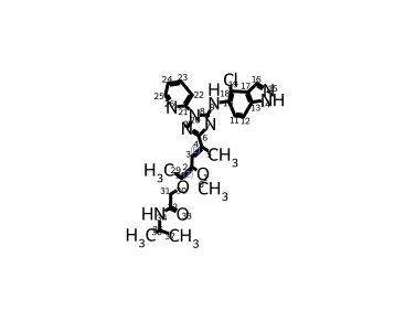 COC(/C=C(\C)c1nc(Nc2ccc3[nH]ncc3c2Cl)n(-c2ccccn2)n1)=C(/C)OCC(=O)NC(C)C